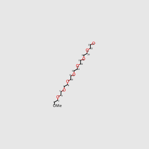 COCCOCCOCCOCCOCCOCCOCCOCC[O]